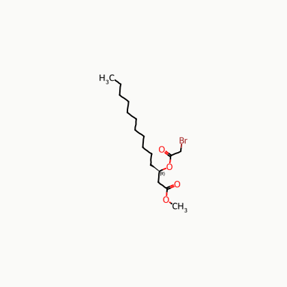 CCCCCCCCCCC[C@H](CC(=O)OC)OC(=O)CBr